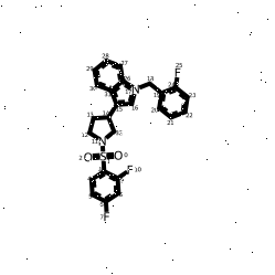 O=S(=O)(c1ccc(F)cc1F)N1CCC(c2cn(Cc3ccccc3F)c3ccccc23)C1